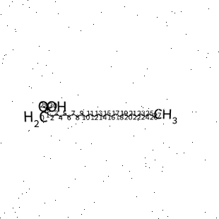 C=C(CCCCCCCCCCCCCCCCCCCCCCCCCC)C(=O)O